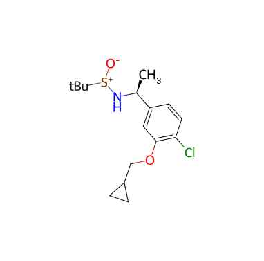 C[C@H](N[S+]([O-])C(C)(C)C)c1ccc(Cl)c(OCC2CC2)c1